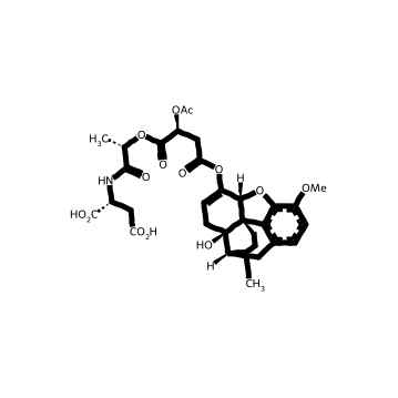 COc1ccc2c3c1O[C@H]1C(OC(=O)C[C@H](OC(C)=O)C(=O)O[C@@H](C)C(=O)N[C@H](CC(=O)O)C(=O)O)=CC[C@@]4(O)[C@@H](C2)C(C)CC[C@]314